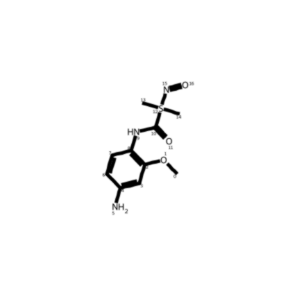 COc1cc(N)ccc1NC(=O)S(C)(C)N=O